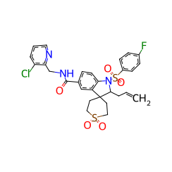 C=CCC1N(S(=O)(=O)c2ccc(F)cc2)c2ccc(C(=O)NCc3ncccc3Cl)cc2C12CCS(=O)(=O)CC2